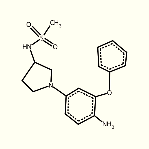 CS(=O)(=O)NC1CCN(c2ccc(N)c(Oc3ccccc3)c2)C1